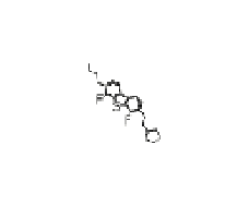 CCCCc1ccc2c(sc3c(F)c(CCC4CCCC4)ccc32)c1F